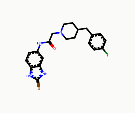 O=C(CN1CCC(Cc2ccc(F)cc2)CC1)Nc1ccc2[nH]c(=S)[nH]c2c1